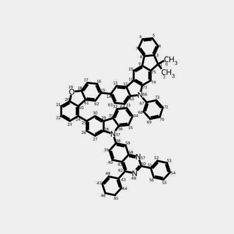 CC1(C)c2ccccc2-c2cc3c4cc(-c5ccc6oc7cccc(-c8ccc9c(c8)c8ccccc8n9-c8ccc9c(C%10=CCCC=C%10)nc(-c%10ccccc%10)nc9c8)c7c6c5)ccc4n(-c4ccccc4)c3cc21